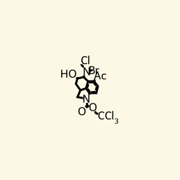 CC(=O)c1ccc2c3c1C(N(Br)CCl)C(O)CC3CN2C(=O)OCC(Cl)(Cl)Cl